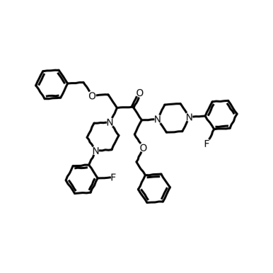 O=C(C(COCc1ccccc1)N1CCN(c2ccccc2F)CC1)C(COCc1ccccc1)N1CCN(c2ccccc2F)CC1